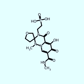 CNC(=O)c1cn2c(c(O)c1=O)C(=O)N(CCP(=O)(O)O)C1(CCOC1)N2C